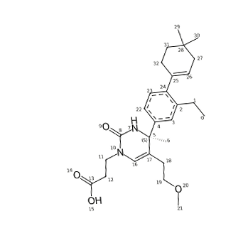 CCc1cc([C@]2(C)NC(=O)N(CCC(=O)O)C=C2CCOC)ccc1C1=CCC(C)(C)CC1